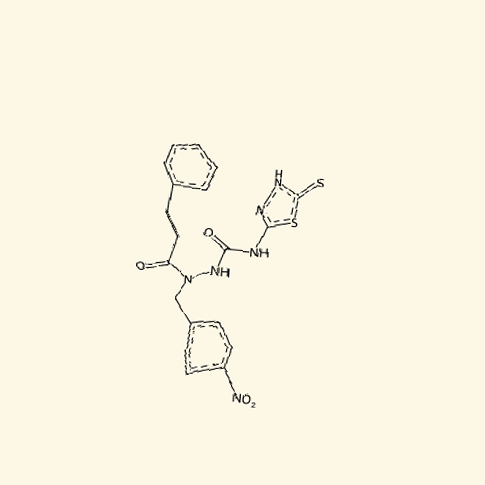 O=C(Nc1n[nH]c(=S)s1)NN(Cc1ccc([N+](=O)[O-])cc1)C(=O)CCc1ccccc1